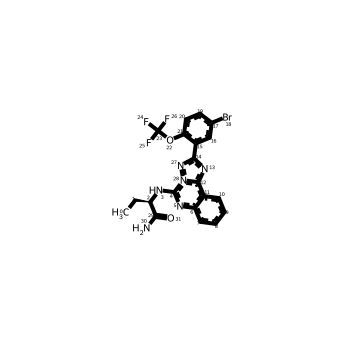 CC[C@@H](Nc1nc2ccccc2c2nc(-c3cc(Br)ccc3OC(F)(F)F)nn12)C(N)=O